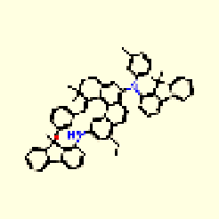 CCc1cc(Nc2cccc3c2C(C)(C)c2ccccc2-3)cc2c1ccc1c(N(c3cccc(C)c3)c3cccc4c3C(C)(C)c3ccccc3-4)cc3c(c12)/C(=C/c1cccc(C)c1)C(C)(C)CC3